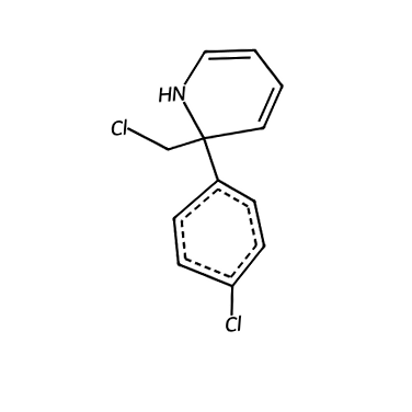 ClCC1(c2ccc(Cl)cc2)C=CC=CN1